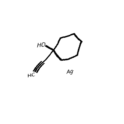 C#CC1(O)CCCCC1.[Ag]